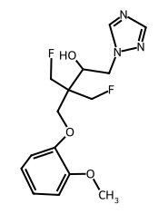 COc1ccccc1OCC(CF)(CF)C(O)Cn1cncn1